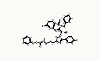 Cc1ccc(C2=NC(CCCNC(=O)OCc3ccccc3)CN2[C@@H](c2nc3cc(Cl)ccc3c(=O)n2Cc2ccccc2)C(C)C)cc1